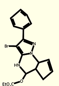 CCOC(=O)OC1Nc2c(Br)c(-c3ccccc3)nn2C2C=CCC12